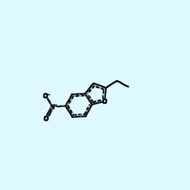 CCc1cc2cc([N+](=O)[O-])ccc2o1